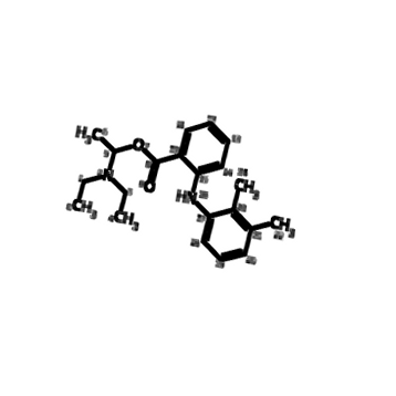 CCN(CC)C(C)OC(=O)c1ccccc1Nc1cccc(C)c1C